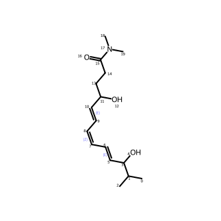 CC(C)C(O)/C=C/C=C\C=C\C(O)CCC(=O)N(C)C